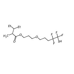 CCC(CC)C(C)C(=O)OCCCOCCCC(F)(F)C(F)(F)S